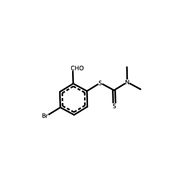 CN(C)C(=S)Sc1ccc(Br)cc1C=O